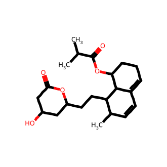 CC(C)C(=O)OC1CCC=C2C=CC(C)C(CCC3CC(O)CC(=O)O3)C21